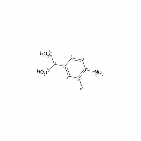 Cc1cc(C(C(=O)O)C(=O)O)ccc1[N+](=O)[O-]